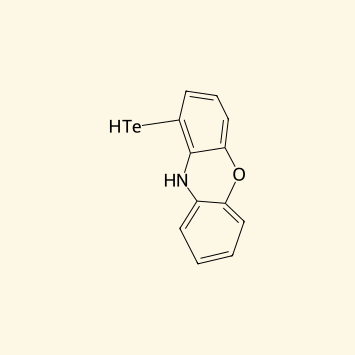 [TeH]c1cccc2c1Nc1ccccc1O2